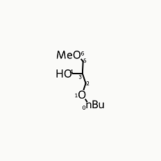 CCCCOCC(O)COC